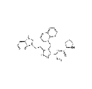 C[C@@H](NC(=O)[C@@H]1CCCN1)C1=NNC(CCc2c[nH]c3ccccc23)N1Cc1cccc2ccccc12